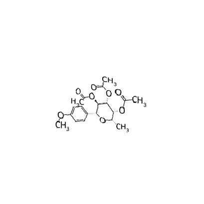 COc1ccc([C@H]2O[C@@H](C)[C@@H](OC(C)=O)[C@@H](OC(C)=O)[C@@H]2OC(C)=O)cc1